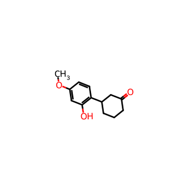 COc1ccc(C2CCCC(=O)C2)c(O)c1